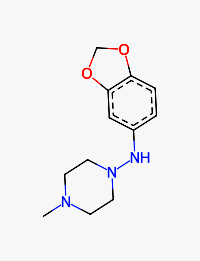 CN1CCN(Nc2ccc3c(c2)OCO3)CC1